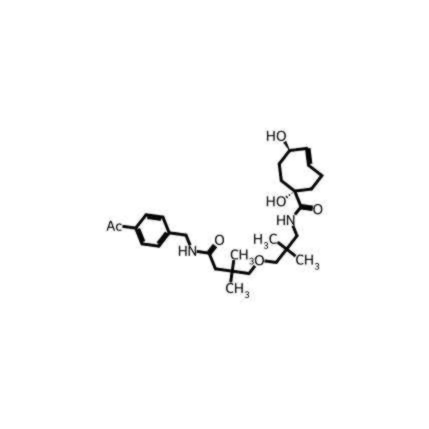 CC(=O)c1ccc(CNC(=O)CC(C)(C)COCC(C)(C)CNC(=O)[C@]2(O)CC/C=C/[C@H](O)CC2)cc1